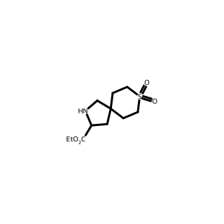 CCOC(=O)C1CC2(CCS(=O)(=O)CC2)CN1